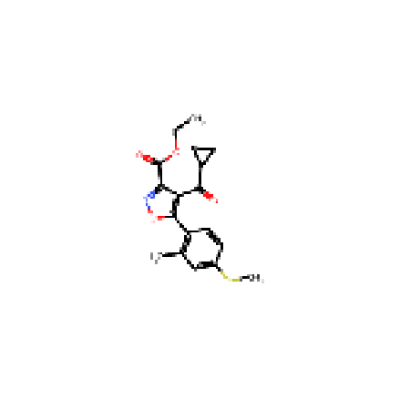 CCOC(=O)c1noc(-c2ccc(SC)cc2C)c1C(=O)C1CC1